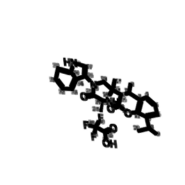 CC(C)c1cccc(C(C)C)c1OC(=O)CC(C)(C)CN(C(=O)[C@H](C)N)c1c[nH]c2ccccc12.O=C(O)C(F)(F)F